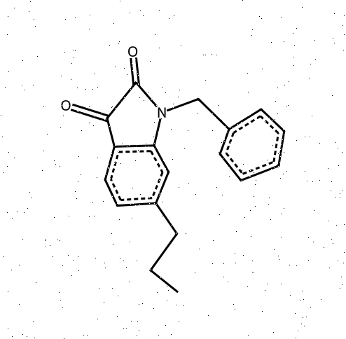 CCCc1ccc2c(c1)N(Cc1ccccc1)C(=O)C2=O